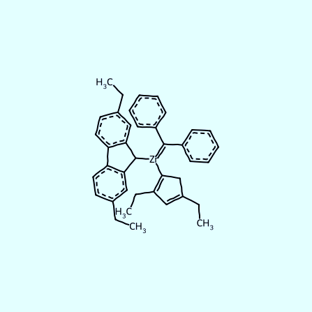 CCC1=CC(CC)=[C]([Zr](=[C](c2ccccc2)c2ccccc2)[CH]2c3cc(CC)ccc3-c3ccc(CC)cc32)C1